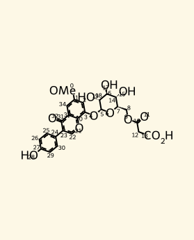 COc1cc(O[C@@H]2O[C@H](COC(=O)CC(=O)O)[C@@H](O)[C@H](O)[C@H]2O)c2occ(-c3ccc(O)cc3)c(=O)c2c1